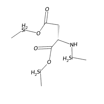 C[SiH2]N[C@@H](CC(=O)O[SiH2]C)C(=O)O[SiH2]C